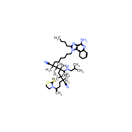 C=C(CCC(C)(C#N)C(C)(C)CC(C)(C(=C)NCC(C)C)C(C)(C)C(C)(C#N)CCCCCCn1c(CCCC)nc2c(N)nc3c(c21)CCC=C3)N1CCSC1=S